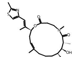 C/C1=C/C[C@@H](/C(C)=C/c2csc(C)n2)OC(=O)CCN(C)C(=O)[C@H](C)[C@@H](O)[C@@H](C)CCC1